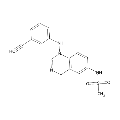 C#Cc1cccc(NN2C=NCc3cc(NS(C)(=O)=O)ccc32)c1